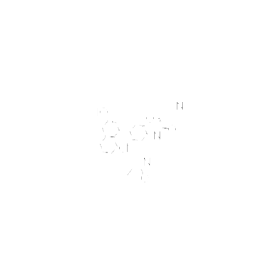 C=CC(=O)N1CC(CN2C(=O)[C@@H](CCN(C)C)Oc3cc(-c4cc(O)cc5ccccc45)c(Cl)cc32)C1